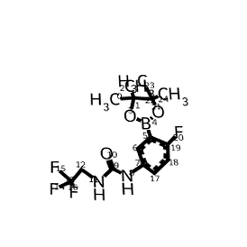 CC1(C)OB(c2cc(NC(=O)NCC(F)(F)F)ccc2F)OC1(C)C